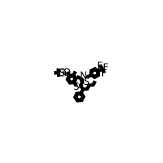 CCCCC(c1ccccc1)C(Sc1ccc(O[Si](C)(C)C(C)(C)C)c(C)c1)c1sc(-c2ccc(C(F)(F)F)cc2)nc1C